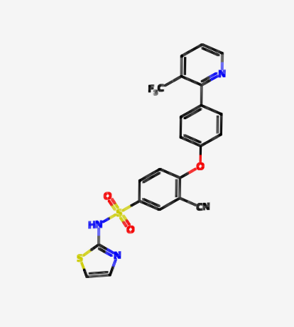 N#Cc1cc(S(=O)(=O)Nc2nccs2)ccc1Oc1ccc(-c2ncccc2C(F)(F)F)cc1